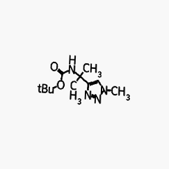 Cn1cc(C(C)(C)NC(=O)OC(C)(C)C)nn1